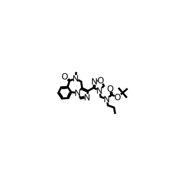 CCCN(CN1CON=C1c1ncn2c1CN(C)C(=O)c1ccccc1-2)C(=O)OC(C)(C)C